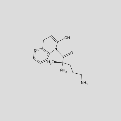 C[C@](N)(CCCN)C(=O)N1C(O)=CCc2ccccc21